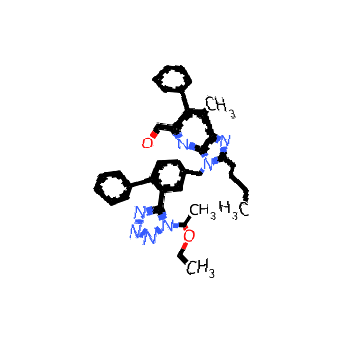 CCCCc1nc2c(C)c(-c3ccccc3)c(C=O)nc2n1Cc1ccc(-c2ccccc2)c(-c2nnnn2C(C)OCC)c1